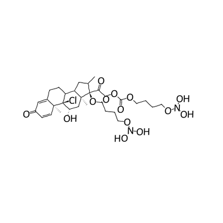 CC1CC2C3CCC4=CC(=O)C=C[C@]4(C)[C@@]3(Cl)[C@@H](O)C[C@]2(C)[C@@]1(OC(=O)CCCON(O)O)C(=O)COC(=O)OCCCCON(O)O